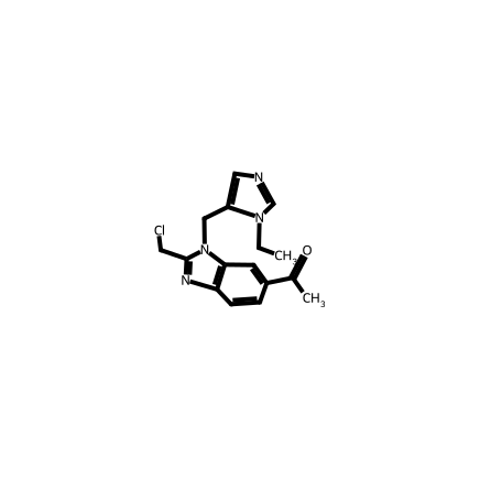 CCn1cncc1Cn1c(CCl)nc2ccc(C(C)=O)cc21